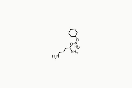 NCCCC(N)O[PH](=O)OC1CCCCC1